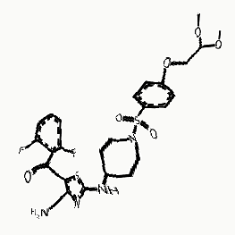 COC(COc1ccc(S(=O)(=O)N2CCC(Nc3nc(N)c(C(=O)c4c(F)cccc4F)s3)CC2)cc1)OC